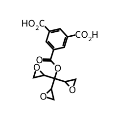 O=C(O)c1cc(C(=O)O)cc(C(=O)OC(C2CO2)(C2CO2)C2CO2)c1